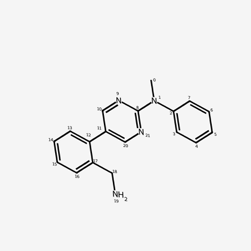 CN(c1ccccc1)c1ncc(-c2ccccc2CN)cn1